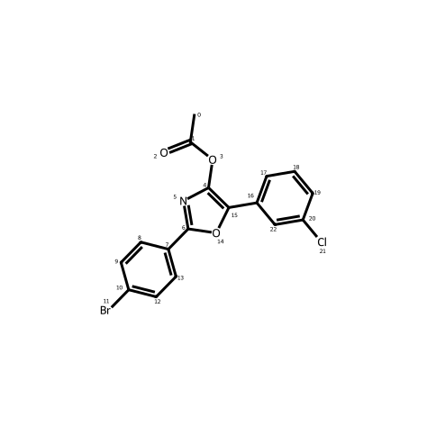 CC(=O)Oc1nc(-c2ccc(Br)cc2)oc1-c1cccc(Cl)c1